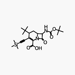 CC(C)(C)OC(=O)NC1C(=O)N2C(C(=O)O)=C(C#C[Si](C)(C)C)C(C(C)(C)C)CC12